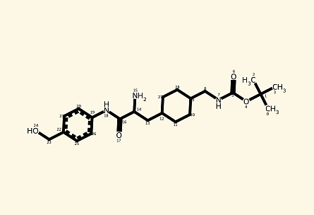 CC(C)(C)OC(=O)NCC1CCC(CC(N)C(=O)Nc2ccc(CO)cc2)CC1